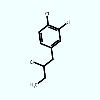 CCC(Cl)[CH]c1ccc(Cl)c(Cl)c1